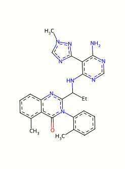 CCC(Nc1ncnc(N)c1-c1ncn(C)n1)c1nc2cccc(C)c2c(=O)n1-c1ccccc1C